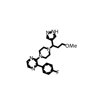 COCCC(c1cn[nH]c1)N1CCN(c2nccnc2-c2ccc(F)cc2)CC1